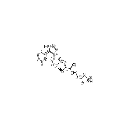 Cc1cccc(-c2[nH]ncc2-c2ccc3ncc(C(=O)OCCC4CCNC4)cc3c2)n1